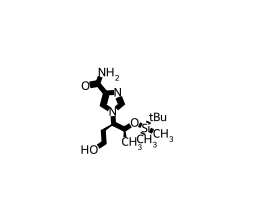 C[C@H](O[Si](C)(C)C(C)(C)C)[C@@H](CCO)n1cnc(C(N)=O)c1